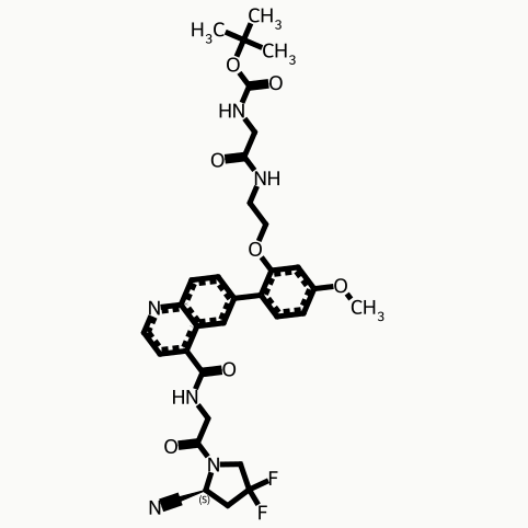 COc1ccc(-c2ccc3nccc(C(=O)NCC(=O)N4CC(F)(F)C[C@H]4C#N)c3c2)c(OCCNC(=O)CNC(=O)OC(C)(C)C)c1